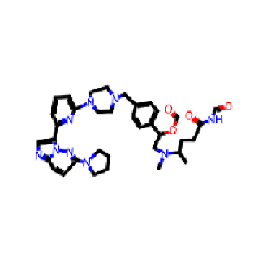 CC(CCC(=O)NC=O)N(C)CC(OC=O)c1ccc(CN2CCN(c3cccc(-c4cnc5ccc(N6CCCC6)nn45)n3)CC2)cc1